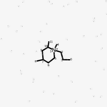 CCC[N+]1(C)CCC(C)CC1C